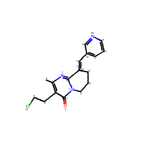 Cc1nc2n(c(=O)c1CCCl)CCC/C2=C\c1cccnc1